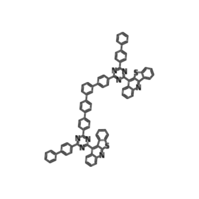 c1ccc(-c2ccc(-c3nc(-c4ccc(-c5cccc(-c6ccc(-c7ccc(-c8nc(-c9ccc(-c%10ccccc%10)cc9)nc(-c9c%10ccccc%10nc%10sc%11ccccc%11c9%10)n8)cc7)cc6)c5)cc4)nc(-c4c5ccccc5nc5c4sc4ccccc45)n3)cc2)cc1